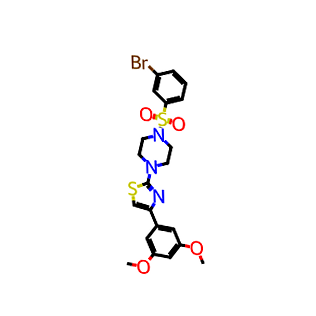 COc1cc(OC)cc(-c2csc(N3CCN(S(=O)(=O)c4cccc(Br)c4)CC3)n2)c1